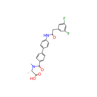 C[C@@H](C(=O)O)N(C)C(=O)c1ccc(-c2ccc(NC(=O)Cc3cc(F)cc(F)c3)cc2)cc1